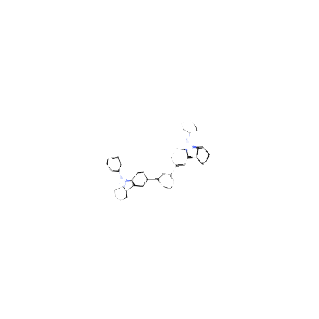 C1=CC(n2c3c(c4ccccc42)C=C(C2C=C(c4ccc5c(c4)c4ccccc4n5-c4ccccc4)C=CC2)CC3)=CCC1